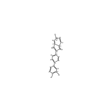 Cc1ccc(-c2ccc(-c3nc4ccn(C)cc-4n3)cc2)cc1C